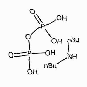 CCCCNCCCC.O=P(O)(O)OP(=O)(O)O